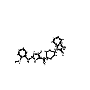 COc1ccccc1Nc1nc(C)c(C(=O)N2CCC(n3c(=O)[nH]c4ccccc43)CC2)s1